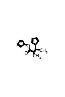 CC(C(=O)OC1C=CC=C1)=C(C)C1C=CC=C1